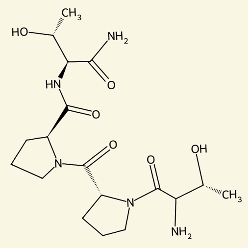 C[C@@H](O)C(N)C(=O)N1CCC[C@@H]1C(=O)N1CCC[C@H]1C(=O)N[C@H](C(N)=O)[C@@H](C)O